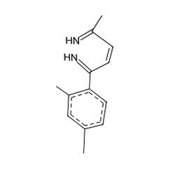 CC(=N)/C=C\C(=N)c1ccc(C)cc1C